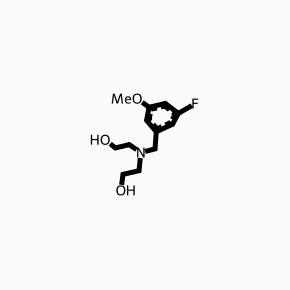 COc1cc(F)cc(CN(CCO)CCO)c1